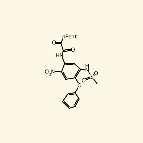 CCCCCC(=O)C(=O)Nc1cc(NS(C)(=O)=O)c(Oc2ccccc2)cc1[N+](=O)[O-]